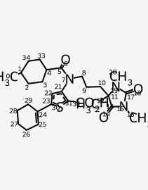 CC1CCC(C(=O)N(CCCC2(C)C(=O)N(C)C(=O)N2C)c2cc(C3=CCCCC3)sc2C(=O)O)CC1